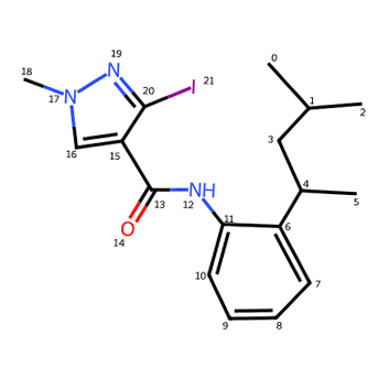 CC(C)CC(C)c1ccccc1NC(=O)c1cn(C)nc1I